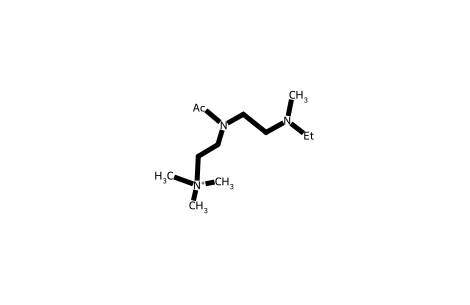 CCN(C)CCN(CC[N+](C)(C)C)C(C)=O